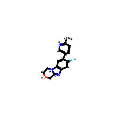 CSc1ccc(-c2cc3c(cc2F)nc2n3CCOC2)cn1